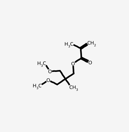 C=C(C)C(=O)OCC(C)(COC)COC